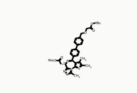 COC(=O)C[C@@H]1N=C(c2ccc(-c3ccc(COCC(=O)OC(C)(C)C)cc3)cc2)c2c(sc(C)c2C)-n2c(C)nnc21